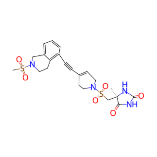 C[C@]1(CS(=O)(=O)N2CC=C(C#Cc3cccc4c3CCN(S(C)(=O)=O)C4)CC2)NC(=O)NC1=O